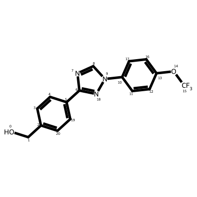 OCc1ccc(-c2ncn(-c3ccc(OC(F)(F)F)cc3)n2)cc1